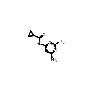 Cc1nc(N)cc(NC(=O)C2CC2)n1